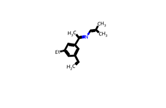 C=Cc1cc(CC)cc(/C(C)=N/C=C(C)C)c1